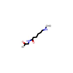 CCC(=O)CNC(=O)CCCCCNC=O